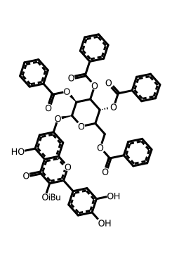 CC(C)COc1c(-c2ccc(O)c(O)c2)oc2cc(O[C@@H]3OC(COC(=O)c4ccccc4)[C@@H](OC(=O)c4ccccc4)C(OC(=O)c4ccccc4)[C@@H]3OC(=O)c3ccccc3)cc(O)c2c1=O